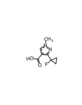 Cn1cc(C(=O)O)c(C2(F)CC2)n1